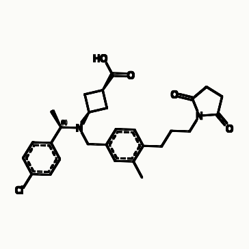 Cc1cc(CN([C@H]2C[C@@H](C(=O)O)C2)[C@H](C)c2ccc(Cl)cc2)ccc1CCCN1C(=O)CCC1=O